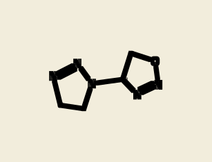 C1CN([C]2CON=N2)N=N1